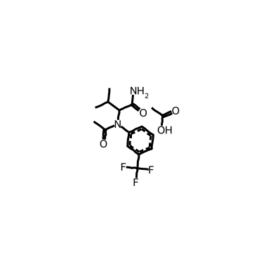 CC(=O)N(c1cccc(C(F)(F)F)c1)C(C(N)=O)C(C)C.CC(=O)O